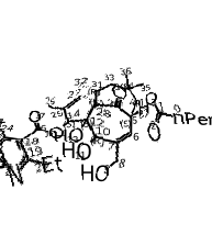 CCCCCC(=O)O[C@@H]1[C@@H]2C=C(CO)[C@@H](O)[C@]3(O)[C@@H](OC(=O)c4c(CC)noc4CC)C(C)=C[C@@]3(C2=O)[C@H](C)CC1(C)C